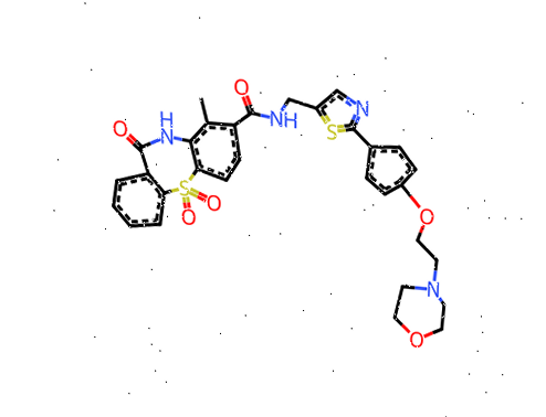 Cc1c(C(=O)NCc2cnc(-c3ccc(OCCN4CCOCC4)cc3)s2)ccc2c1NC(=O)c1ccccc1S2(=O)=O